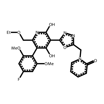 CCOCc1nc(O)c(-c2nnc(Cn3ccccc3=O)o2)c(O)c1-c1c(OC)cc(F)cc1OC